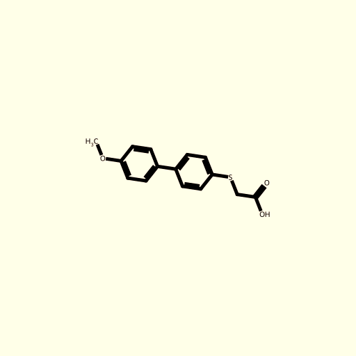 COc1ccc(-c2ccc(SCC(=O)O)cc2)cc1